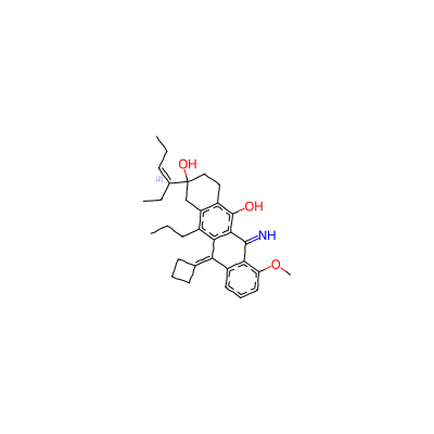 CC/C=C(/CC)C1(O)CCc2c(O)c3c(c(CCC)c2C1)C(=C1CCC1)c1cccc(OC)c1C3=N